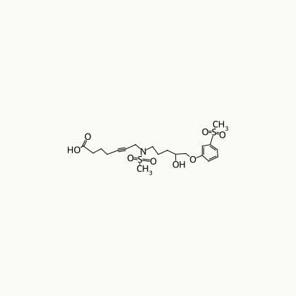 CS(=O)(=O)c1cccc(OCC(O)CCCN(CC#CCCCC(=O)O)S(C)(=O)=O)c1